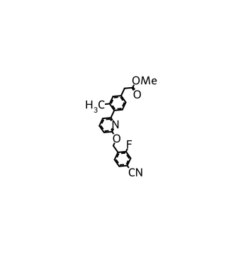 COC(=O)Cc1ccc(-c2cccc(OCc3ccc(C#N)cc3F)n2)c(C)c1